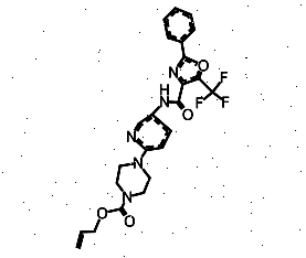 C=CCOC(=O)N1CCN(c2ccc(NC(=O)c3nc(-c4ccccc4)oc3C(F)(F)F)cn2)CC1